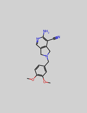 COc1ccc(CN2Cc3cnc(N)c(C#N)c3C2)cc1OC